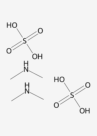 CNC.CNC.O=S(=O)(O)O.O=S(=O)(O)O